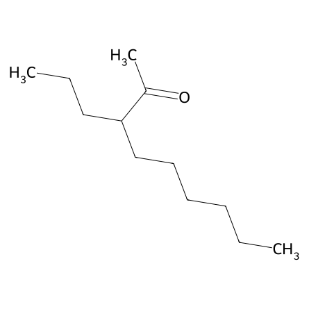 CCCCCCC(CCC)C(C)=O